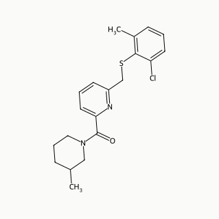 Cc1cccc(Cl)c1SCc1cccc(C(=O)N2CCCC(C)C2)n1